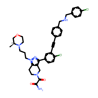 C[C@H]1COCCN1CCCn1nc(-c2ccc(Cl)c(C#Cc3ccc(CNCc4ccc(Cl)cc4)cc3)c2)c2c1CCN(C(=O)C(N)=O)C2